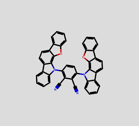 N#Cc1c(-n2c3ccccc3c3ccc4c5ccccc5oc4c32)ccc(-n2c3ccccc3c3ccc4c5ccccc5oc4c32)c1C#N